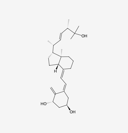 C=C1/C(=C\C=C2/CCC[C@]3(C)[C@@H]([C@H](C)/C=C/[C@H](C)C(C)(C)O)CC[C@@H]23)C[C@@H](O)C[C@@H]1O